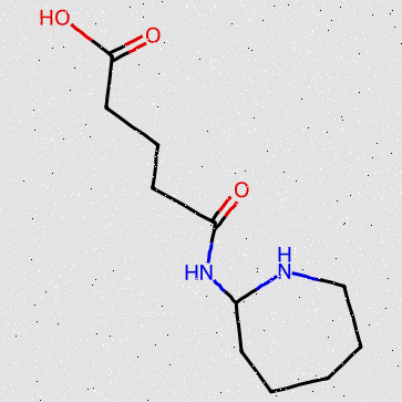 O=C(O)CCCC(=O)NC1CCCCCN1